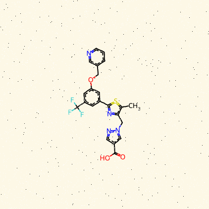 Cc1sc(-c2cc(OCc3cccnc3)cc(C(F)(F)F)c2)nc1Cn1cc(C(=O)O)cn1